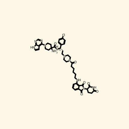 NC1(C(=O)N[C@@H](CCN2CCN(C(=O)CCCCCNc3cccc4c3C(=O)N(C3CCC(=O)NC3=O)C4=O)CC2)c2ccc(Cl)cc2)CCN(c2ncnc3[nH]ccc23)CC1